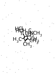 CC1=C(C)C(C)(C(C)N(C)C)[C]([Ti])=C1C.Cl.Cl